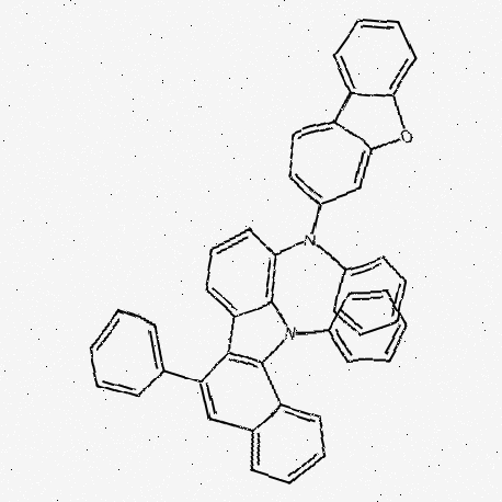 c1ccc(-c2cc3ccccc3c3c2c2cccc(N(c4ccccc4)c4ccc5c(c4)oc4ccccc45)c2n3-c2ccccc2)cc1